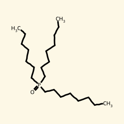 CCCCCCCCP(=O)(CCCCCCC)CCCCCCCC